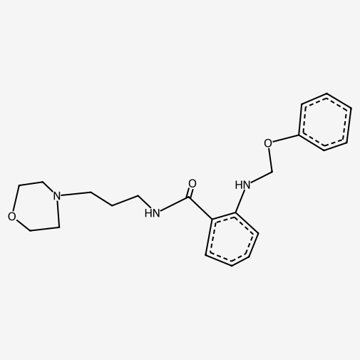 O=C(NCCCN1CCOCC1)c1ccccc1NCOc1ccccc1